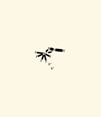 [K+].[K+].[N-]=[N+]=[N][Ni-3]([F])([F])([F])([F])([F])[F]